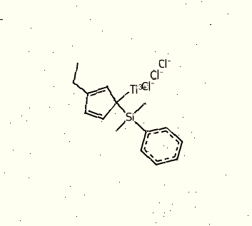 CCC1=C[C]([Ti+3])([Si](C)(C)c2ccccc2)C=C1.[Cl-].[Cl-].[Cl-]